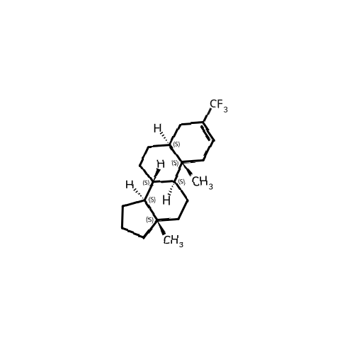 C[C@@]12CCC[C@H]1[C@@H]1CC[C@H]3CC(C(F)(F)F)=CC[C@]3(C)[C@H]1CC2